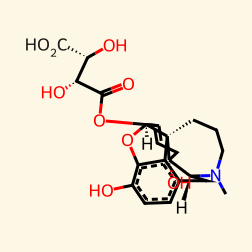 CN1CCC[C@]23c4c5ccc(O)c4O[C@H]2C(OC(=O)[C@H](O)[C@@H](O)C(=O)O)=CC[C@@]3(O)[C@H]1C5